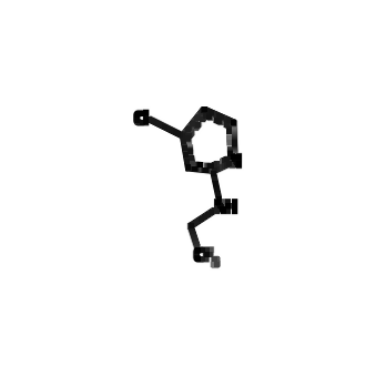 FC(F)(F)CNc1cc(Cl)ccn1